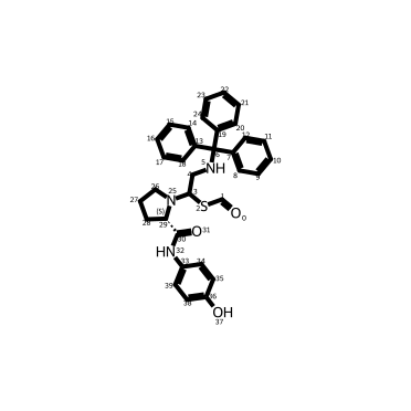 O=CSC(CNC(c1ccccc1)(c1ccccc1)c1ccccc1)N1CCC[C@H]1C(=O)Nc1ccc(O)cc1